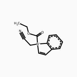 CCOC(=O)[N+]1(CC#N)C=Cc2ccccc21